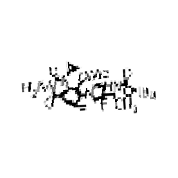 COc1c(N2CCC(F)(C(C)NC(=O)OC(C)(C)C)C2)c(F)cc2c(=O)n(N)c(=O)n(C3CC3)c12